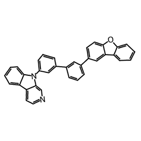 c1cc(-c2cccc(-n3c4ccccc4c4ccncc43)c2)cc(-c2ccc3oc4ccccc4c3c2)c1